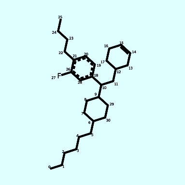 CCCCCCC1CCC(C(CC2CC=CCC2)c2ccc(CCCC)c(F)c2)CC1